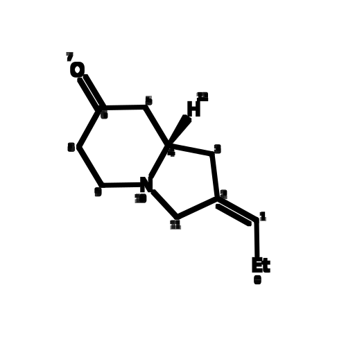 CCC=C1C[C@H]2CC(=O)CCN2C1